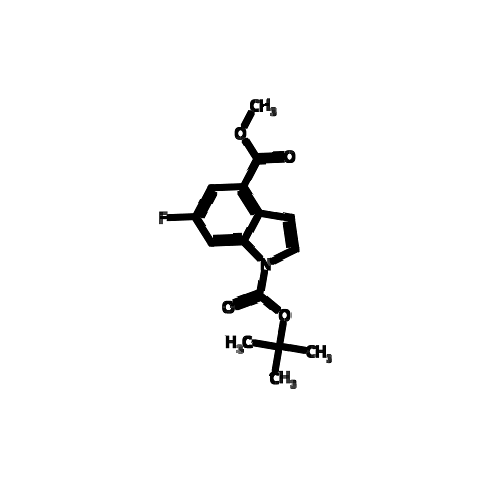 COC(=O)c1cc(F)cc2c1ccn2C(=O)OC(C)(C)C